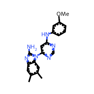 COc1cccc(Nc2cc(-n3c(N)nc4cc(C)c(C)cc43)ncn2)c1